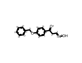 O=C(CC=NO)c1ccc(OCc2ccccc2)cc1